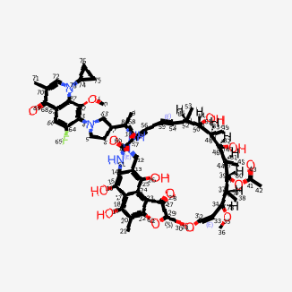 COc1c(N2CCC(C(C)N/N=C/c3c4c(O)c5c(O)c(C)c6c(c5c3O)C(=O)[C@@](C)(O/C=C/[C@H](OC)[C@@H](C)[C@@H](OC(C)=O)[C@H](C)[C@H](O)[C@H](C)[C@@H](O)[C@@H](C)/C=C/C=C(/C)C(=O)N4)O6)C2)c(F)cc2c(=O)c(C)cn(C3CC3)c12